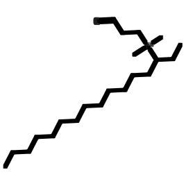 CCCCCCCCCCCCCC(CC)[N+](C)(C)CCC=O